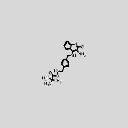 CC(C)(C)C(=O)ONCc1ccc(CNc2c(N)c(Cl)nc3ccccc23)cc1